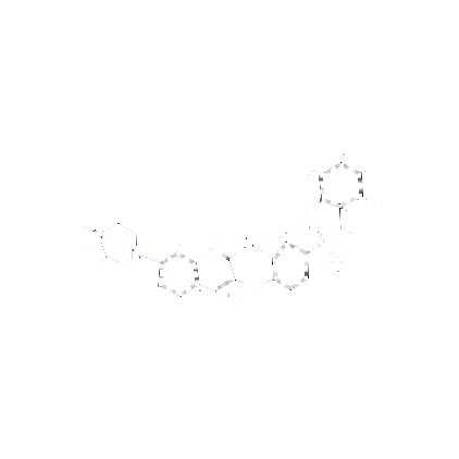 CN1CCN(c2ccc(/C=C3/Sc4ccc(S(=O)(=O)Cc5c(F)cccc5F)cc4NC3=O)cc2)CC1